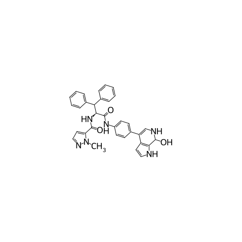 Cn1nccc1C(=O)N[C@H](C(=O)Nc1ccc(C2=CNC(O)c3[nH]ccc32)cc1)C(c1ccccc1)c1ccccc1